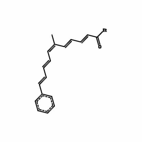 CCC(=O)C=CC=CC(C)=CC=CC=Cc1ccccc1